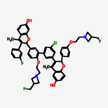 CC1=C(c2cccc(F)c2)C(c2ccc(OCCN3CC(CF)C3)c(-c3cc(Cl)cc(C4=C(C)c5cc(O)ccc5OC4c4ccc(OCCN5CC(CF)C5)cc4)c3)c2)Oc2cc(O)ccc21